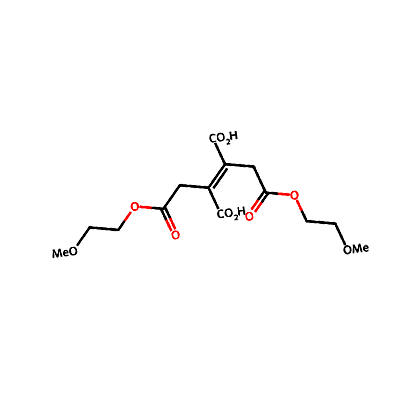 COCCOC(=O)C/C(C(=O)O)=C(/CC(=O)OCCOC)C(=O)O